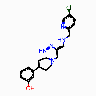 N=N/C(=C\NCc1ccc(Cl)cn1)CN1CCC(c2cccc(O)c2)CC1